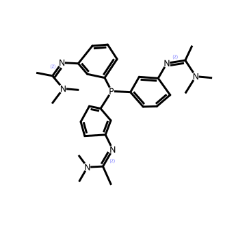 C/C(=N/c1cccc(P(c2cccc(/N=C(/C)N(C)C)c2)c2cccc(/N=C(/C)N(C)C)c2)c1)N(C)C